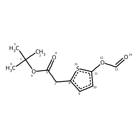 CC(C)(C)OC(=O)Cc1ccc(OC=O)s1